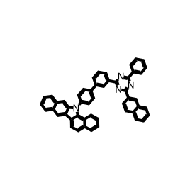 c1ccc(-c2nc(-c3cccc(-c4ccc(-n5c6cc7ccccc7cc6c6ccc7ccccc7c65)cc4)c3)nc(-c3ccc4ccccc4c3)n2)cc1